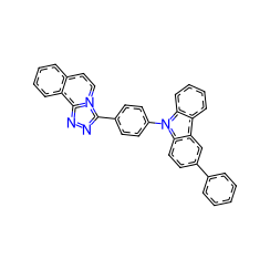 c1ccc(-c2ccc3c(c2)c2ccccc2n3-c2ccc(-c3nnc4c5ccccc5ccn34)cc2)cc1